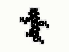 Cc1nc2cc(C(C)N(CCN)Cc3ccccc3)ccc2[nH]1